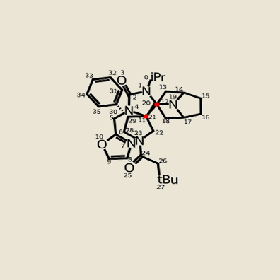 CC(C)N1C(=O)N(Cc2ncco2)CC12CC1CCC(C2)N1C[C@H]1CN(C(=O)CC(C)(C)C)C[C@@H]1c1ccccc1